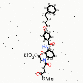 CCOC(=O)C1CN(C(=O)CCC(=O)OC)c2cccc(NC(=O)c3ccc(OCCCCc4ccccc4)cc3)c2O1